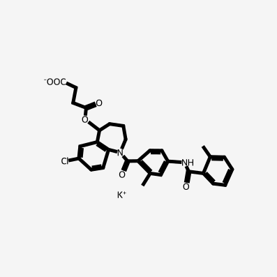 Cc1ccccc1C(=O)Nc1ccc(C(=O)N2CCCC(OC(=O)CCC(=O)[O-])c3cc(Cl)ccc32)c(C)c1.[K+]